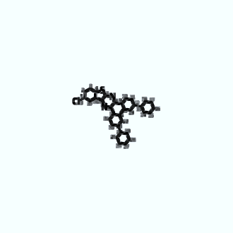 Clc1ccc2sc3nc4c5ccc(-c6ccccc6)cc5c5cc(-c6ccccc6)ccc5c4nc3c2c1